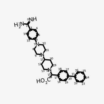 N=C(N)c1ccc(N2CCN(C3CCN(C(C(=O)O)c4ccc(-c5ccccc5)cc4)CC3)CC2)cc1